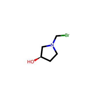 O[C@@H]1CCN(CBr)C1